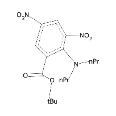 CCCN(CCC)c1c(C(=O)OC(C)(C)C)cc([N+](=O)[O-])cc1[N+](=O)[O-]